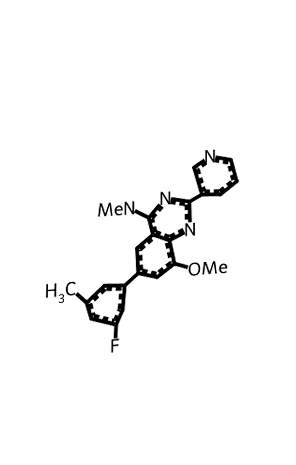 CNc1nc(-c2cccnc2)nc2c(OC)cc(-c3cc(C)cc(F)c3)cc12